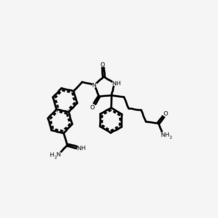 N=C(N)c1ccc2ccc(CN3C(=O)NC(CCCCC(N)=O)(c4ccccc4)C3=O)cc2c1